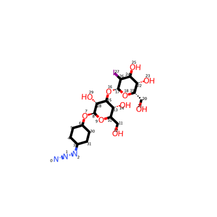 [N-]=[N+]=NC1CCC(O[C@@H]2OC(CO)[C@@H](O)C(O[C@H]3O[C@@H](CO)[C@@H](O)C(O)C3I)[C@H]2O)CC1